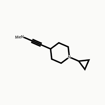 CNC#CC1CCN(C2CC2)CC1